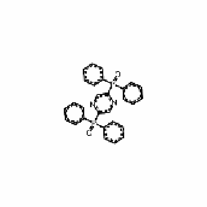 O=P(c1ccccc1)(c1ccccc1)c1cnc(P(=O)(c2ccccc2)c2ccccc2)cn1